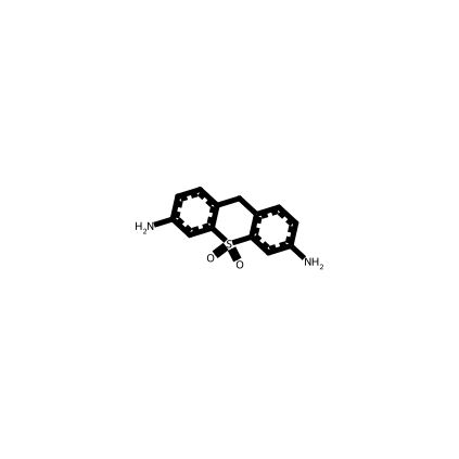 Nc1ccc2c(c1)S(=O)(=O)c1cc(N)ccc1C2